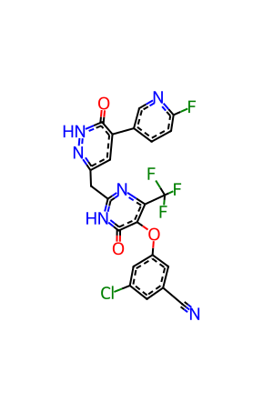 N#Cc1cc(Cl)cc(Oc2c(C(F)(F)F)nc(Cc3cc(-c4ccc(F)nc4)c(=O)[nH]n3)[nH]c2=O)c1